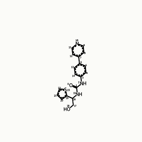 O=C(Nc1ccc(-c2ccncc2)cc1)NC(CO)c1cccs1